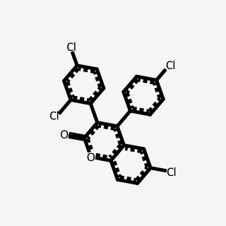 O=c1oc2ccc(Cl)cc2c(-c2ccc(Cl)cc2)c1-c1ccc(Cl)cc1Cl